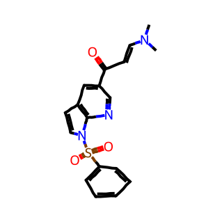 CN(C)C=CC(=O)c1cnc2c(ccn2S(=O)(=O)c2ccccc2)c1